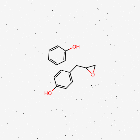 Oc1ccc(CC2CO2)cc1.Oc1ccccc1